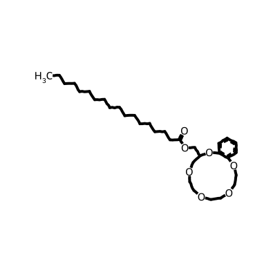 CCCCCCCCCCCCCCCCCC(=O)OCC1COCCOCCOCCOc2ccccc2O1